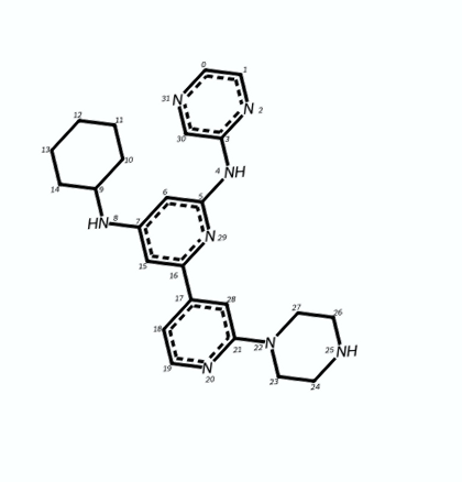 c1cnc(Nc2cc(NC3CCCCC3)cc(-c3ccnc(N4CCNCC4)c3)n2)cn1